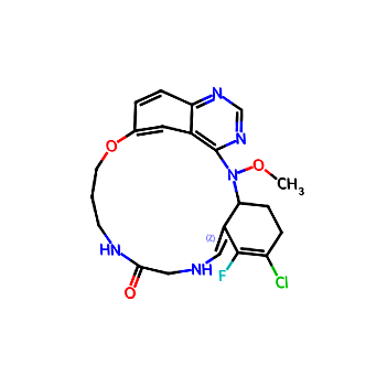 CON1c2ncnc3ccc(cc23)OCCCNC(=O)CN/C=C2\C(F)=C(Cl)CCC21